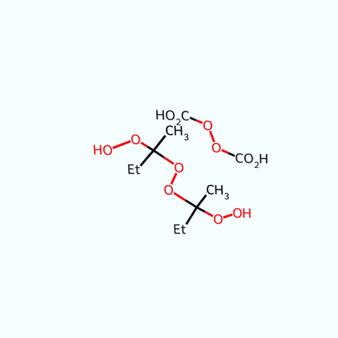 CCC(C)(OO)OOC(C)(CC)OO.O=C(O)OOC(=O)O